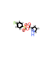 O=C(OS(=O)(=O)c1ccc(F)cc1)[C@@H]1CCCN1